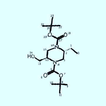 CC[C@@H]1CN(C(=O)OC(C)(C)C)[C@@H](CO)CN1C(=O)OC(C)(C)C